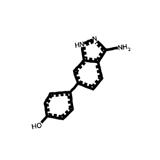 Nc1n[nH]c2cc(-c3ccc(O)cc3)ccc12